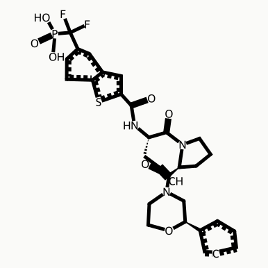 C#CC[C@H](NC(=O)c1cc2cc(C(F)(F)P(=O)(O)O)ccc2s1)C(=O)N1CCC[C@H]1C(=O)N1CCO[C@H](c2ccccc2)C1